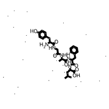 CC(C)CC(NC(=O)C(Cc1ccccc1)NC(=O)C(C)NC(=O)CNC(=O)C(N)Cc1ccc(O)cc1)C(=O)O